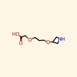 O=C(O)COCCCOC1CNC1